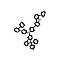 c1ccc(-c2ccccc2-c2ccc(N(c3ccc(-c4ccc5oc6c(-c7ccccc7)cccc6c5c4)cc3)c3ccc4c(c3)-c3ccccc3C4(c3ccccc3)c3ccccc3)cc2)cc1